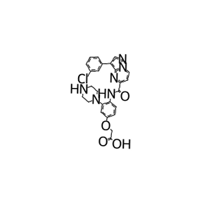 O=C(O)COc1ccc(NC(=O)c2ccn3ncc(-c4cccc(Cl)c4)c3n2)c(N2CCNCC2)c1